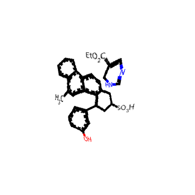 CCOC(=O)C1=CN=CNC1.Cc1cc2c3c(ccc2c2ccccc12)CC(S(=O)(=O)O)CC3c1cccc(O)c1